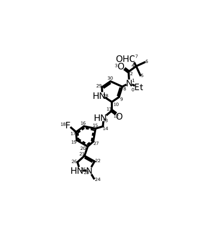 CCN(C(=O)C(C)(C)C=O)C1=CC(C(=O)NCc2cc(F)cc(C3=CN(C)NC3)c2)NC=C1